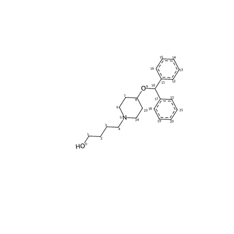 OCCCCN1CCC(OC(c2ccccc2)c2ccccc2)CC1